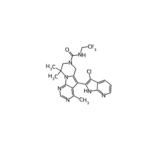 Cc1ncnc2c1c(-c1[nH]c3ncccc3c1Cl)c1n2C(C)(C)CN(C(=O)NCC(F)(F)F)C1